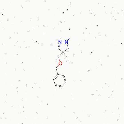 CN1CC(C)(COCc2ccccc2)C=N1